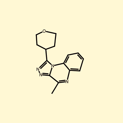 Cc1nc2ccccc2n2c(C3CCOCC3)nnc12